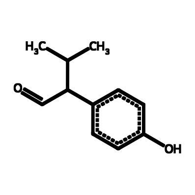 CC(C)C(C=O)c1ccc(O)cc1